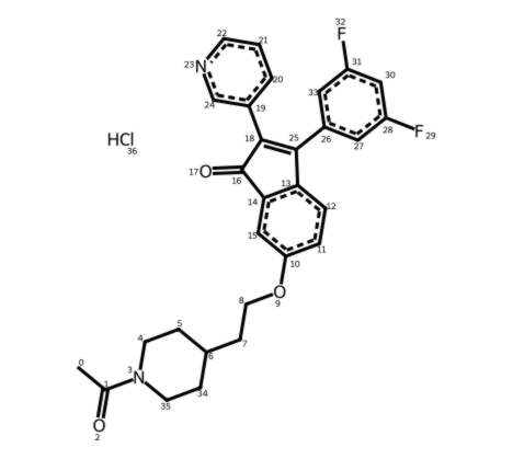 CC(=O)N1CCC(CCOc2ccc3c(c2)C(=O)C(c2cccnc2)=C3c2cc(F)cc(F)c2)CC1.Cl